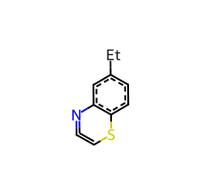 CCc1ccc2c(c1)N=C=CS2